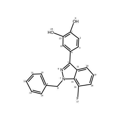 Oc1ccc(-c2nn(Cc3ccccc3)c3c(F)cccc23)cc1O